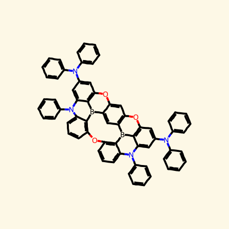 c1ccc(N(c2ccccc2)c2cc3c4c(c2)N(c2ccccc2)c2cccc5c2B4c2cc4c(cc2O3)Oc2cc(N(c3ccccc3)c3ccccc3)cc3c2B4c2c(cccc2N3c2ccccc2)O5)cc1